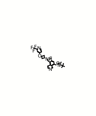 CC(C)(C)[Si](C)(C)OCc1cc(F)c(CN[C@H]2C[C@H](Oc3ccnc(C(F)(F)F)c3)C2)c2ccncc12